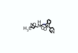 Cc1cc(CNC(=O)/C=C2\C(=O)N(c3ccncc3)c3ccccc32)on1